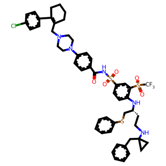 O=C(NS(=O)(=O)c1ccc(N[C@H](CCNC2(Cc3ccccc3)CC2)CSc2ccccc2)c(S(=O)(=O)C(F)(F)F)c1)c1ccc(N2CCN(CC3=C(c4ccc(Cl)cc4)CCCC3)CC2)cc1